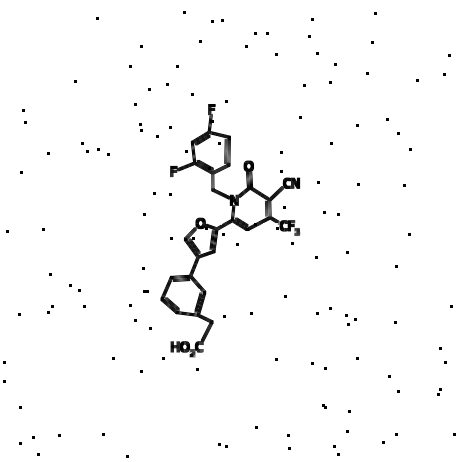 N#Cc1c(C(F)(F)F)cc(-c2cc(-c3cccc(CC(=O)O)c3)co2)n(Cc2ccc(F)cc2F)c1=O